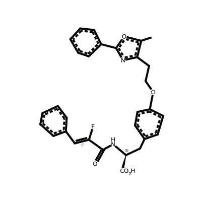 Cc1oc(-c2ccccc2)nc1CCOc1ccc(C[C@H](NC(=O)/C(F)=C/c2ccccc2)C(=O)O)cc1